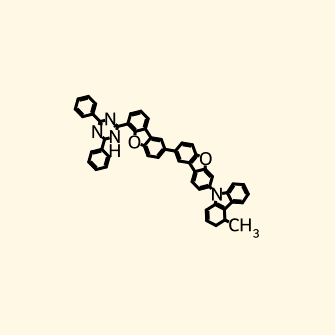 CC1CC=Cc2c1c1ccccc1n2-c1ccc2c(c1)oc1ccc(-c3ccc4oc5c(C6=NC(c7ccccc7)=NC(c7ccccc7)N6)cccc5c4c3)cc12